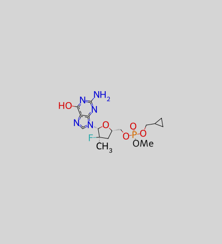 CO[P@](=O)(OCC1CC1)OC[C@@H]1C[C@@](C)(F)[C@H](n2cnc3c(O)nc(N)nc32)O1